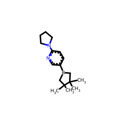 CC1(C)CB(c2ccc(N3CCCC3)nc2)CC1(C)C